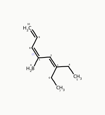 B/C(C=C(CC)CC)=C/C=C